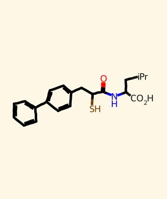 CC(C)CC(NC(=O)C(S)Cc1ccc(-c2ccccc2)cc1)C(=O)O